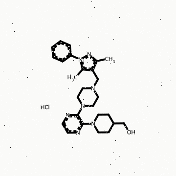 Cc1nn(-c2ccccc2)c(C)c1CN1CCN(c2nccnc2N2CCC(CO)CC2)CC1.Cl